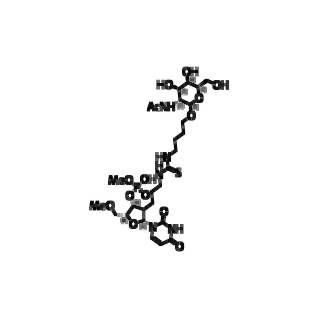 COC[C@H]1O[C@@H](n2ccc(=O)[nH]c2=O)C(CCCNC(=S)NCCCCO[C@@H]2O[C@H](CO)[C@H](O)[C@H](O)[C@H]2NC(C)=O)[C@H]1OP(=O)(O)OC